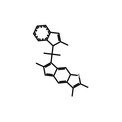 CC1=Cc2ccccc2C1C(C)(C)C1=C(C)C=C2C=C3C(C)=C(C)SC3C=C21